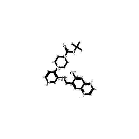 CC(C)(C)OC(=O)N1CCN(c2ccncc2NCc2cc3nccnc3cc2Cl)CC1